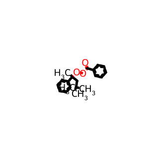 CC(C)(C)CC(C)(OOC(=O)c1ccccc1)c1ccccc1